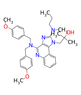 CCCN(C)c1nc2c(N(Cc3ccc(OC)cc3)Cc3ccc(OC)cc3)nc3ccccc3c2n1CC(C)(C)O